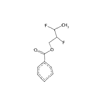 CC(F)C(F)COC(=O)c1ccccc1